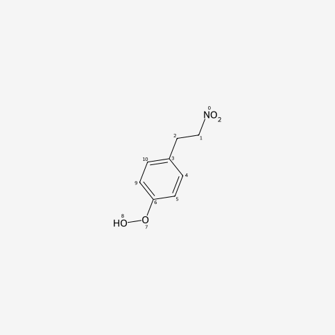 O=[N+]([O-])CCc1ccc(OO)cc1